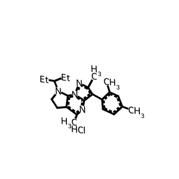 CCC(CC)N1CCc2c(C)nc3c(-c4ccc(C)cc4C)c(C)nn3c21.Cl